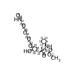 CCOC(=O)C1=C(Nc2ccccc2)S/C(=C\c2ccc(OCCOCCOCCOCCNC=O)c(O)c2)C1=O